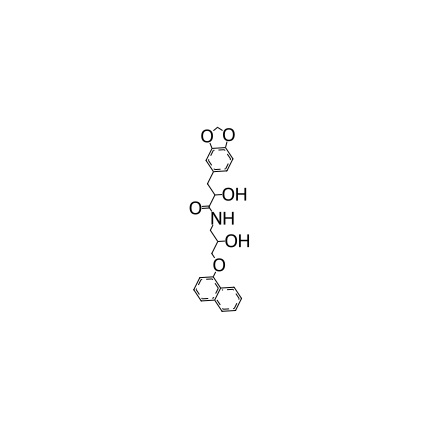 O=C(NCC(O)COc1cccc2ccccc12)C(O)Cc1ccc2c(c1)OCO2